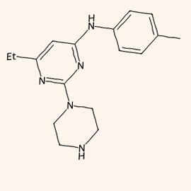 CCc1cc(Nc2ccc(C)cc2)nc(N2CCNCC2)n1